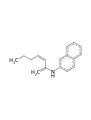 C=C(/C=C\CCC)Nc1ccc2ccccc2c1